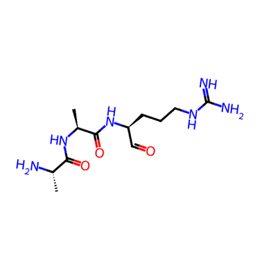 C[C@H](N)C(=O)N[C@@H](C)C(=O)N[C@H](C=O)CCCNC(=N)N